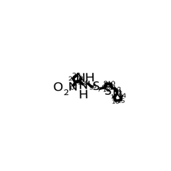 O=[N+]([O-])C1=C(NCCSCc2ccc(CN3CCCC3)s2)NCC1